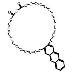 O=C1OCCCCCCCCCCCc2cc3cc4ccccc4cc3cc2CCCCCCCCCCCOC(=O)O1